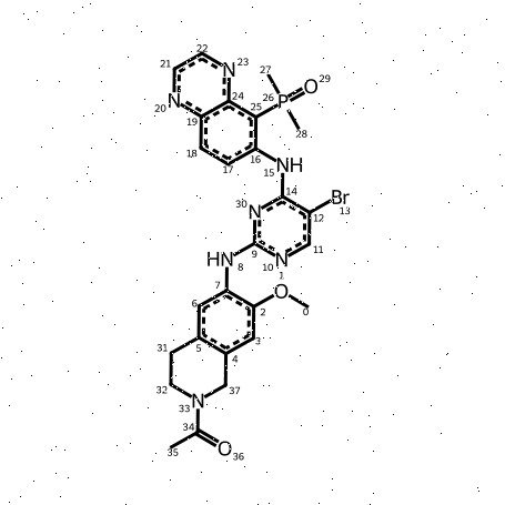 COc1cc2c(cc1Nc1ncc(Br)c(Nc3ccc4nccnc4c3P(C)(C)=O)n1)CCN(C(C)=O)C2